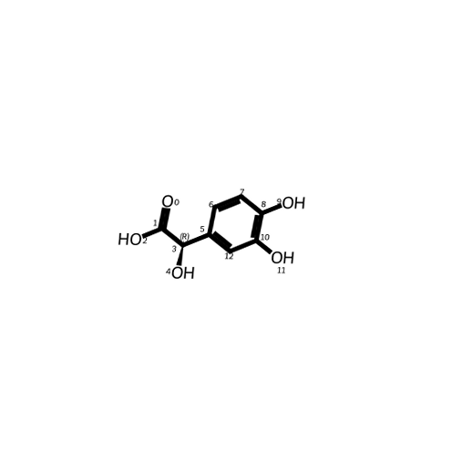 O=C(O)[C@H](O)c1ccc(O)c(O)c1